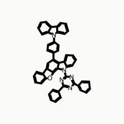 c1ccc(-c2nc(-c3ccccc3)nc(-n3c4ccccc4c4c(-c5ccc(-n6c7ccccc7c7ccccc76)cc5)cc5c6ccccc6oc5c43)n2)cc1